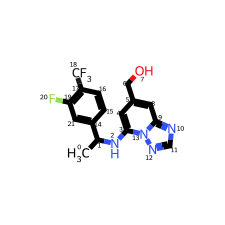 CC(Nc1cc(CO)cc2ncnn12)c1ccc(C(F)(F)F)c(F)c1